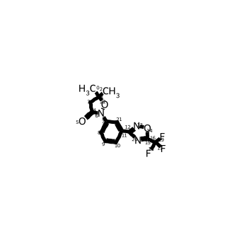 CC1(C)CC(=O)N(c2cccc(-c3noc(C(F)(F)F)n3)c2)O1